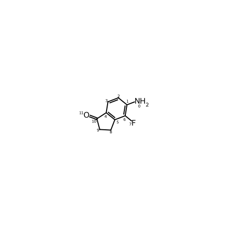 Nc1ccc2c(c1F)CCC2=O